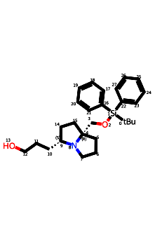 CC(C)(C)[Si](OC[C@]12CCCN1[C@H](CCCO)CC2)(c1ccccc1)c1ccccc1